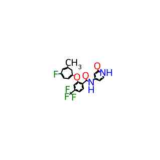 CC1=CC(F)=CC=C(Oc2cc(C(F)(F)F)ccc2C(=O)Nc2cc[nH]c(=O)c2)C1